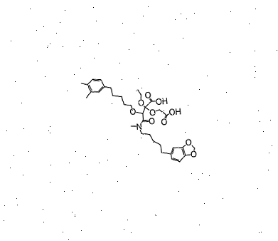 CCOC(OCC(=O)O)(C(=O)O)C(OCCCCCc1ccc(C)c(C)c1)C(=O)N(C)CCCCCc1ccc2c(c1)OCO2